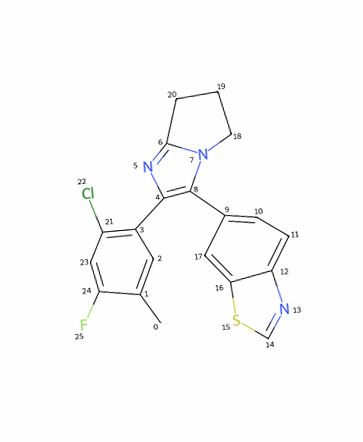 Cc1cc(-c2nc3n(c2-c2ccc4ncsc4c2)CCC3)c(Cl)cc1F